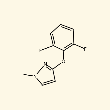 Cn1[c]cc(Oc2c(F)cccc2F)n1